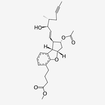 CC#CC[C@@H](C)[C@H](O)/C=C/[C@@H]1[C@H]2c3cccc(CCCC(=O)OC)c3O[C@H]2C[C@H]1OC(C)=O